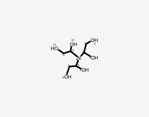 OCC(O)N(C(O)CO)C(O)CO